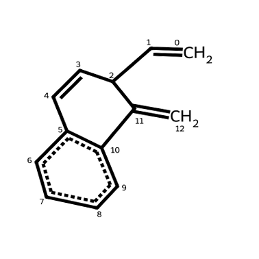 C=CC1C=Cc2ccccc2C1=C